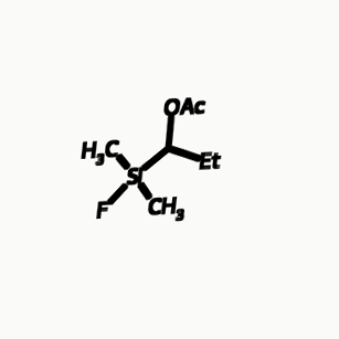 CCC(OC(C)=O)[Si](C)(C)F